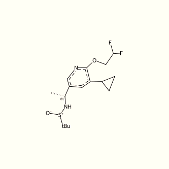 C[C@@H](N[S+]([O-])C(C)(C)C)c1cnc(OCC(F)F)c(C2CC2)c1